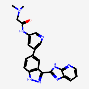 CN(C)CC(=O)Nc1cncc(-c2ccc3[nH]nc(-c4nc5cccnc5[nH]4)c3c2)c1